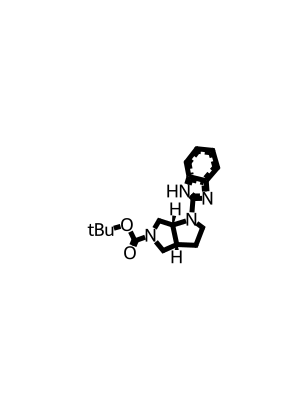 CC(C)(C)OC(=O)N1C[C@H]2CCN(c3nc4ccccc4[nH]3)[C@H]2C1